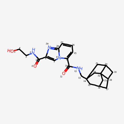 O=C(NCCO)c1cn2c(C(=O)NCC34CC5CC6CC(C3)C6(C5)C4)cccc2n1